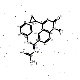 CCn1c(=O)cc(C2CC2)c2cc(/C(=N/C(C)=N)Nc3ccccc3)ccc21